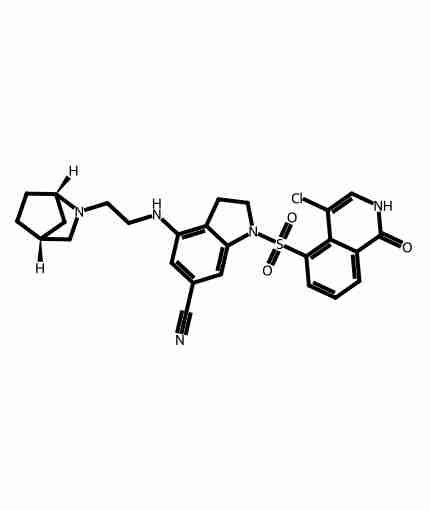 N#Cc1cc(NCCN2C[C@@H]3CC[C@H]2C3)c2c(c1)N(S(=O)(=O)c1cccc3c(=O)[nH]cc(Cl)c13)CC2